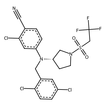 N#Cc1ccc(N(Cc2cc(Cl)ccc2Cl)[C@H]2CCN(S(=O)(=O)CC(F)(F)F)C2)cc1Cl